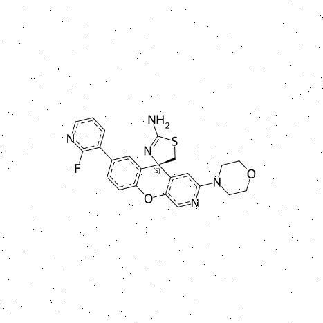 NC1=N[C@@]2(CS1)c1cc(-c3cccnc3F)ccc1Oc1cnc(N3CCOCC3)cc12